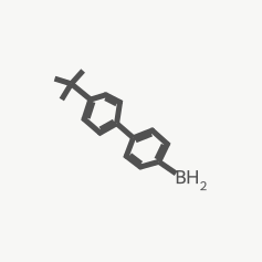 Bc1ccc(-c2ccc(C(C)(C)C)cc2)cc1